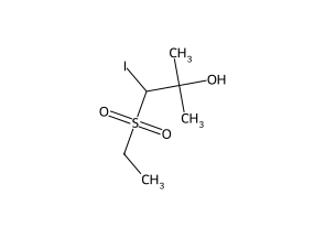 CCS(=O)(=O)C(I)C(C)(C)O